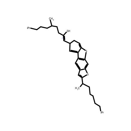 CC(C)CCCCCC(C)c1cc2cc3c4c(sc3cc2s1)=CCC(/C=C(\S)CCC(C)CCCC(C)C)C=4